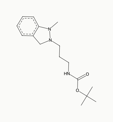 CN1c2ccccc2CN1CCCNC(=O)OC(C)(C)C